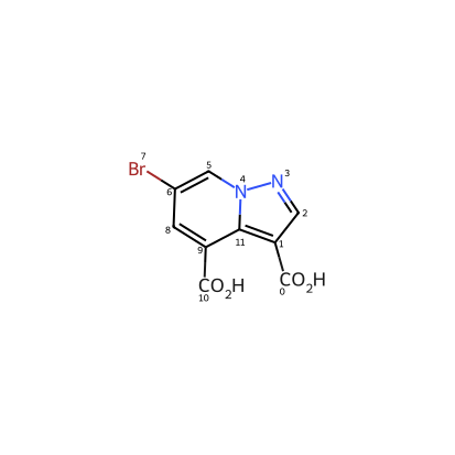 O=C(O)c1cnn2cc(Br)cc(C(=O)O)c12